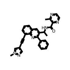 Cc1nccnc1C(=O)NC(C)c1cc2cccc(C#Cc3cnn(C)c3)c2nc1-c1ccccc1